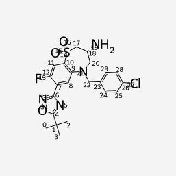 CC(C)(C)c1nc(-c2cc3c(cc2F)S(=O)(=O)C[C@H](N)CN3Cc2ccc(Cl)cc2)no1